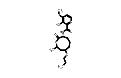 CCCOC1CCC[C@H](NC(=O)c2nccc(OC)c2O)C(=O)OC(C)C1